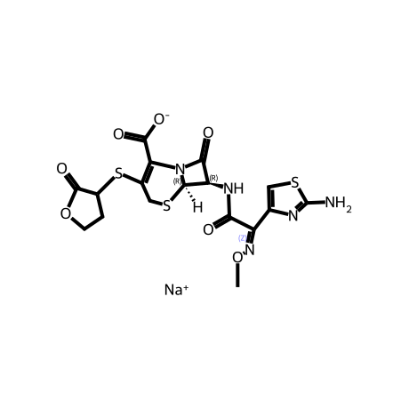 CO/N=C(\C(=O)N[C@@H]1C(=O)N2C(C(=O)[O-])=C(SC3CCOC3=O)CS[C@H]12)c1csc(N)n1.[Na+]